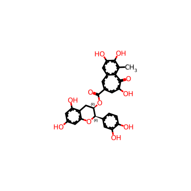 Cc1c(O)c(O)cc2cc(C(=O)O[C@@H]3Cc4c(O)cc(O)cc4O[C@@H]3c3ccc(O)c(O)c3)cc(O)c(=O)c12